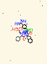 Cl.Cl.N=C(N)c1ccc(CNC(=O)C2(NC(=O)[C@@H](NCC(=O)O)C3CCCCC3)Cc3ccccc3C2)cc1